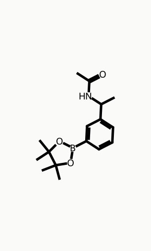 CC(=O)NC(C)c1cccc(B2OC(C)(C)C(C)(C)O2)c1